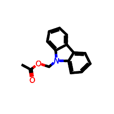 CC(=O)OCn1c2ccccc2c2ccccc21